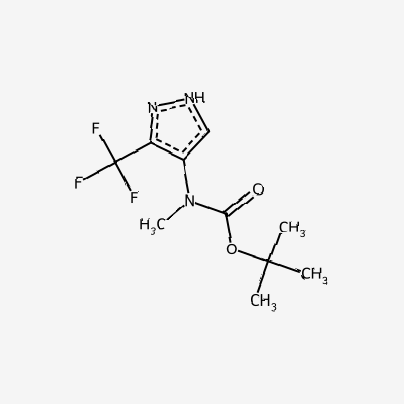 CN(C(=O)OC(C)(C)C)c1c[nH]nc1C(F)(F)F